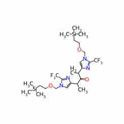 CC(C(=O)C(C)c1cn(COCC[Si](C)(C)C)c(C(F)(F)F)n1)c1cn(COCC[Si](C)(C)C)c(C(F)(F)F)n1